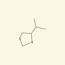 CC(C)C1CSCS1